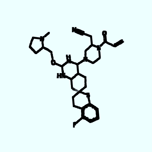 C=CC(=O)N1CCN(C2NC(OCC3CCCN3C)NC3C[C@]4(CCc5c(F)cccc5S4)CCC32)CC1CC#N